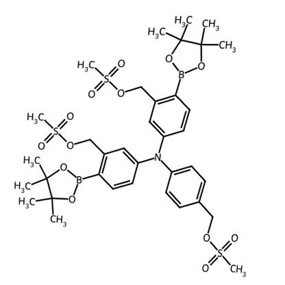 CC1(C)OB(c2ccc(N(c3ccc(COS(C)(=O)=O)cc3)c3ccc(B4OC(C)(C)C(C)(C)O4)c(COS(C)(=O)=O)c3)cc2COS(C)(=O)=O)OC1(C)C